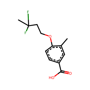 Cc1cc(C(=O)O)ccc1OCCC(C)(F)F